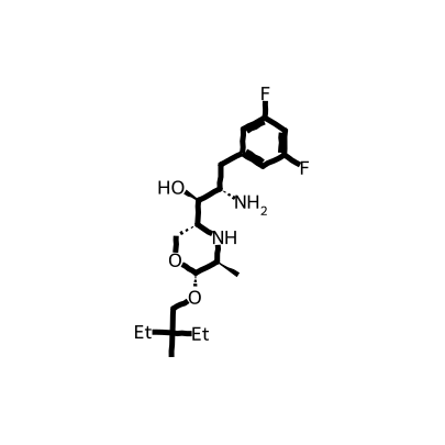 CCC(C)(CC)CO[C@@H]1OC[C@H]([C@@H](O)[C@@H](N)Cc2cc(F)cc(F)c2)N[C@H]1C